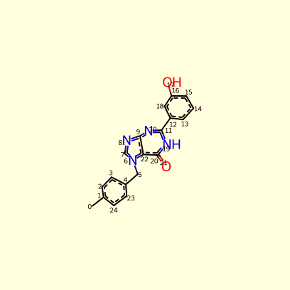 Cc1ccc(Cn2cnc3nc(-c4cccc(O)c4)[nH]c(=O)c32)cc1